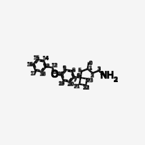 CC(CCN)CC1(c2ccc(OCc3ccccc3)cc2)CCC1